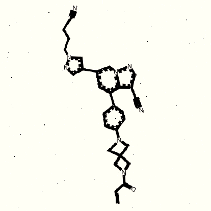 C=CC(=O)N1CC2(C1)CN(c1ccc(-c3cc(-c4cnn(CCCC#N)c4)cn4ncc(C#N)c34)cc1)C2